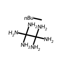 CCCCC.NC(N)(N)C(N)(N)N